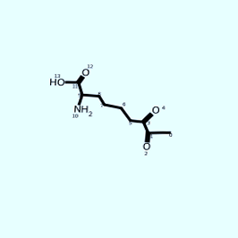 CC(=O)C(=O)CCCCC(N)C(=O)O